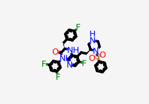 O=C(Nc1cc(F)cc(F)c1)[C@H](Cc1ccc(F)cc1)Nc1cncc(F)c1CC[C@H]1CNCCN1S(=O)(=O)c1ccccc1